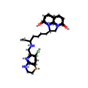 CCCC(CCCC[C@@H]1Cn2c(=O)ccc3ccc(=O)n1c32)NCc1nc2c(cc1Cl)SCCN2